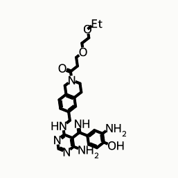 CCOCCOCCC(=O)N1CCc2cc(CNc3ncnc(N)c3C(=N)c3ccc(O)c(N)c3)ccc2C1